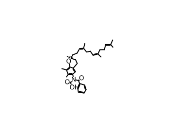 CC(C)=CCCC(C)=CCCC(C)=CCC[C@]1(C)CCc2cc(N(C(=O)O)C(=O)c3ccccc3)c(C)c(C)c2O1